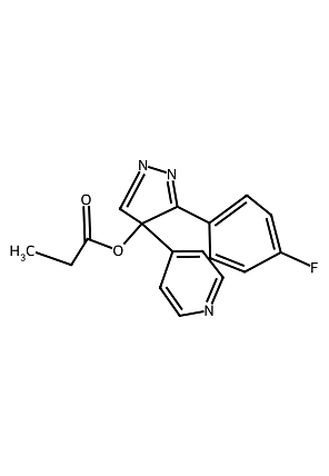 CCC(=O)OC1(c2ccncc2)C=NN=C1c1ccc(F)cc1